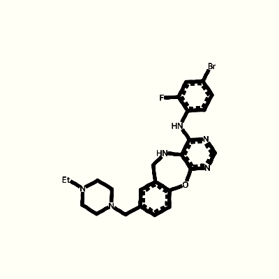 CCN1CCN(Cc2ccc3c(c2)CNc2c(Nc4ccc(Br)cc4F)ncnc2O3)CC1